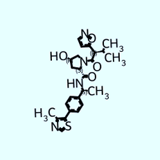 Cc1ncsc1-c1ccc([C@H](C)NC(=O)[C@@H]2C[C@@H](O)CN2C(=O)[C@@H](c2ccno2)C(C)C)cc1